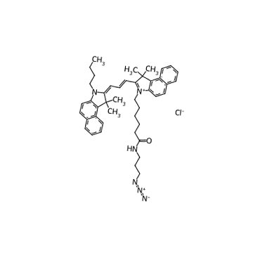 CCCCN1/C(=C/C=C/C2=[N+](CCCCCC(=O)NCCCN=[N+]=[N-])c3ccc4ccccc4c3C2(C)C)C(C)(C)c2c1ccc1ccccc21.[Cl-]